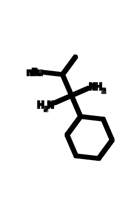 CCCCC(C)C(N)(N)C1CCCCC1